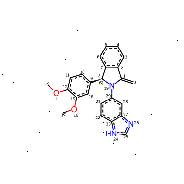 C=C1c2ccccc2[C@H](c2ccc(OC)c(OC)c2)N1c1ccc2[nH]cnc2c1